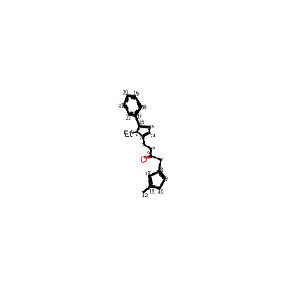 CCC1C(CCC(=O)CC2=CCC(C)=C2)=CC=C1c1ccccc1